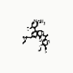 CCOc1cc(C(C)N2CCc3c(cc(CCN(C)CC)cc3-c3cc(N)ncc3Cl)C2=O)ncc1C#N